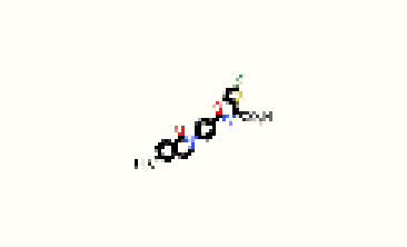 Cc1ccc2c(=O)n(-c3ccc(C(=O)NC(C(=O)O)c4ccc(Cl)s4)cc3)ccc2c1